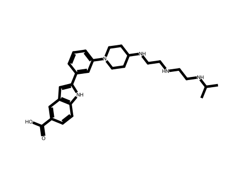 CC(C)NCCNCCNC1CCN(c2cccc(-c3cc4cc(C(=O)O)ccc4[nH]3)c2)CC1